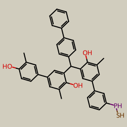 Cc1cc(-c2cc(C)c(O)c(C(c3ccc(-c4ccccc4)cc3)c3cc(-c4cccc(PS)c4)cc(C)c3O)c2)ccc1O